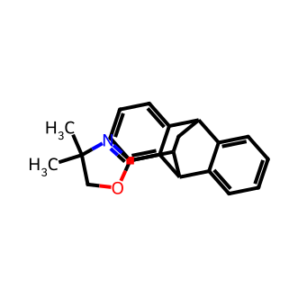 CC1(C)COC(C2CC3c4ccccc4C2c2ccccc23)=N1